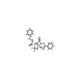 CC1(C)S[C@@H]2C(CC(=O)c3ccccc3)C(=O)N2[C@H]1C(=O)OCc1ccccc1